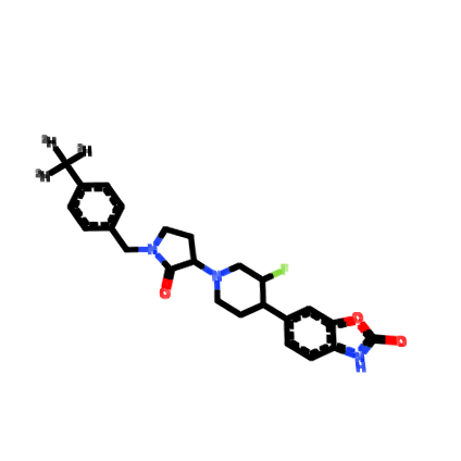 [2H]C([2H])([2H])c1ccc(CN2CCC(N3CCC(c4ccc5[nH]c(=O)oc5c4)C(F)C3)C2=O)cc1